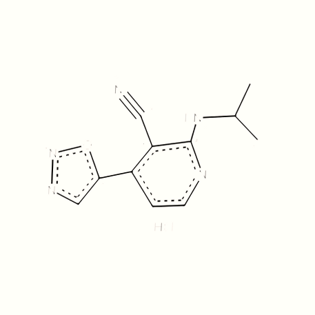 CC(C)Nc1nccc(-c2cnno2)c1C#N.Cl